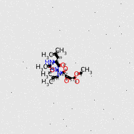 CCOC(=O)[C@H]1O[C@@H]1C(=O)N(CC(C)C)NC(=O)[C@H](CC(C)C)NC(C)=O